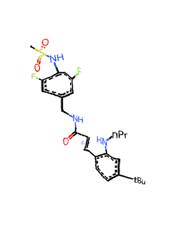 CCCNc1cc(C(C)(C)C)ccc1/C=C/C(=O)NCc1cc(F)c(NS(C)(=O)=O)c(F)c1